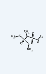 CCNS(=O)(=O)N(C)P(=O)(SN)SN